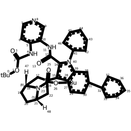 CC(C)(C)OC(=O)Nc1ccncc1NC(=O)c1c(N2C[C@H]3CC[C@@H](C2)N3C(=O)OC(C)(C)C)c2ccc(-c3ccccc3)cc2n1-c1ccccc1